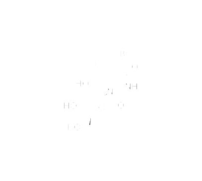 O=c1[nH]c(=O)n([C@H]2O[C@@H](CO)C(O)C2O)cc1/C(Br)=C\I